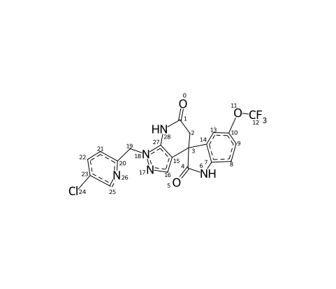 O=C1CC2(C(=O)Nc3ccc(OC(F)(F)F)cc32)c2cnn(Cc3ccc(Cl)cn3)c2N1